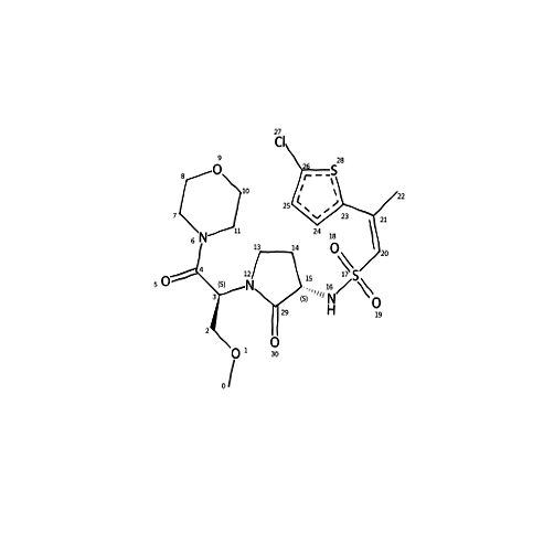 COC[C@@H](C(=O)N1CCOCC1)N1CC[C@H](NS(=O)(=O)C=C(C)c2ccc(Cl)s2)C1=O